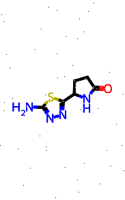 Nc1nnc(C2CCC(=O)N2)s1